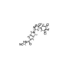 N#CCNC(=O)c1cc2c(s1)CN(C1=NOC(c3cc(Cl)c(F)c(Cl)c3)(C(F)(F)F)C1)C2